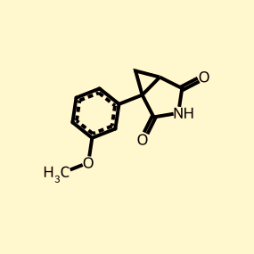 COc1cccc(C23CC2C(=O)NC3=O)c1